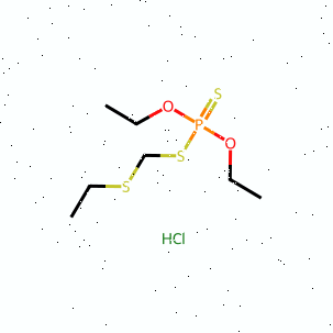 CCOP(=S)(OCC)SCSCC.Cl